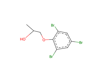 CC(O)COc1c(Br)cc(Br)cc1Br